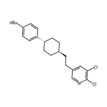 CCCCc1ccc([C@H]2CC[C@H](CCc3cnc(Cl)c(Cl)c3)CC2)cc1